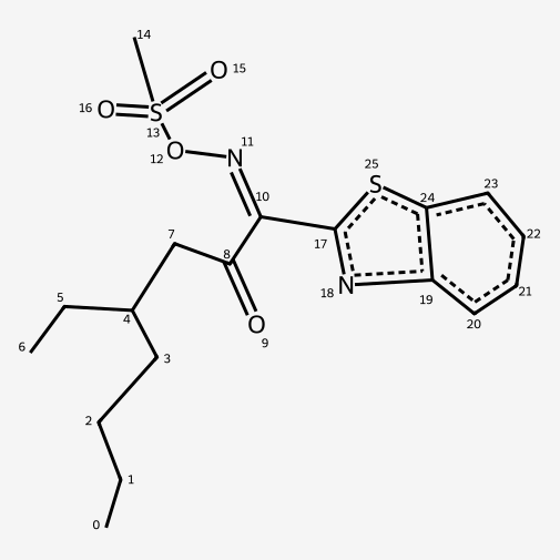 CCCCC(CC)CC(=O)/C(=N\OS(C)(=O)=O)c1nc2ccccc2s1